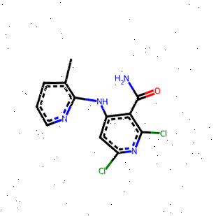 Cc1cccnc1Nc1cc(Cl)nc(Cl)c1C(N)=O